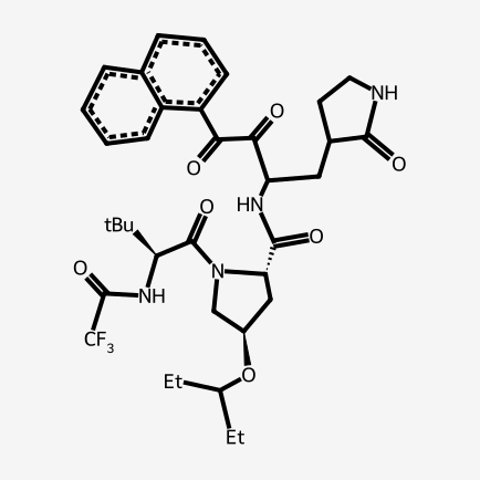 CCC(CC)O[C@@H]1C[C@@H](C(=O)NC(CC2CCNC2=O)C(=O)C(=O)c2cccc3ccccc23)N(C(=O)[C@@H](NC(=O)C(F)(F)F)C(C)(C)C)C1